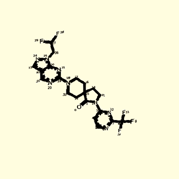 O=C1N(c2ccnc(C(F)(F)F)n2)CCC12CCN(c1ncc3cnn(CC(F)F)c3n1)CC2